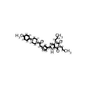 CCCn1c(=O)c2[nH]c(-c3cnn(CC(=O)N4CCN(c5ccc(C)cc5)CC4)c3)nc2n(CCC)c1=O